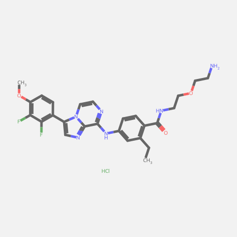 CCc1cc(Nc2nccn3c(-c4ccc(OC)c(F)c4F)cnc23)ccc1C(=O)NCCOCCN.Cl